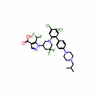 CC(C)CN1CCN(c2ccc(-c3ccc(Cl)cc3N3CC(n4ncc(C(=O)O)c4C(F)F)CC(F)(F)C3)cc2)CC1.Cl